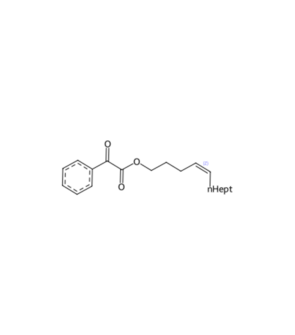 CCCCCCC/C=C\CCCOC(=O)C(=O)c1ccccc1